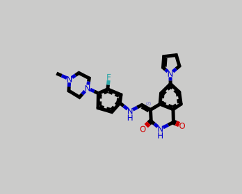 CN1CCN(c2ccc(N/C=C3\C(=O)NC(=O)c4ccc(N5C=CCC5)cc43)cc2F)CC1